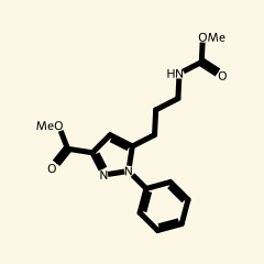 COC(=O)NCCCc1cc(C(=O)OC)nn1-c1ccccc1